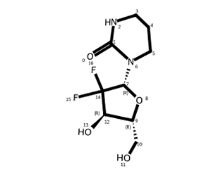 O=C1NCCCN1[C@@H]1O[C@H](CO)[C@@H](O)C1(F)F